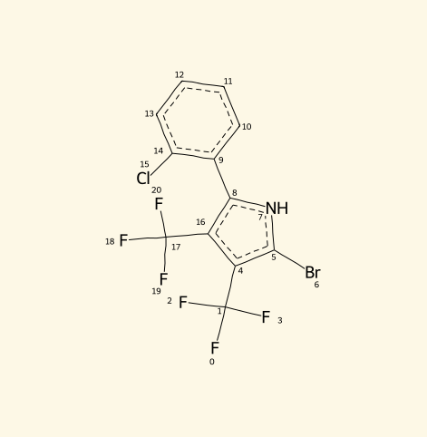 FC(F)(F)c1c(Br)[nH]c(-c2ccccc2Cl)c1C(F)(F)F